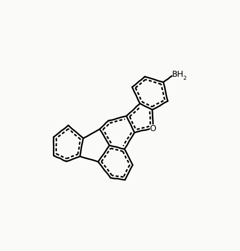 Bc1ccc2c(c1)oc1c3cccc4c3c(cc21)-c1ccccc1-4